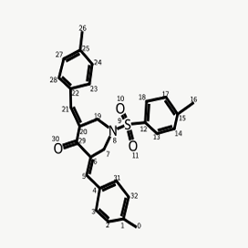 Cc1ccc(C=C2CN(S(=O)(=O)c3ccc(C)cc3)CC(=Cc3ccc(C)cc3)C2=O)cc1